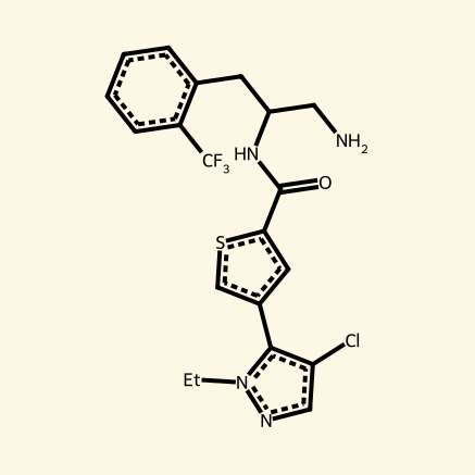 CCn1ncc(Cl)c1-c1csc(C(=O)NC(CN)Cc2ccccc2C(F)(F)F)c1